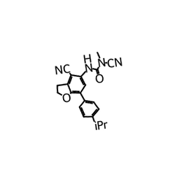 CC(C)c1ccc(-c2cc(NC(=O)N(C)C#N)c(C#N)c3c2OCC3)cc1